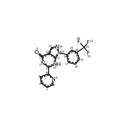 O=c1nc(-c2ccccn2)[nH]c2c1cnn2-c1cccc(C(F)(F)F)c1